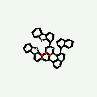 c1ccc(-c2cccc3ccc(-c4cccc5ccccc45)c(-c4nc(-c5cccc6c5sc5ccccc56)cc(-c5cccc6c5sc5ccccc56)n4)c23)cc1